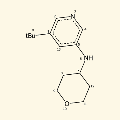 CC(C)(C)c1cncc(NC2CCOCC2)c1